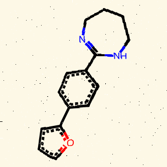 c1coc(-c2ccc(C3=NCCCCN3)cc2)c1